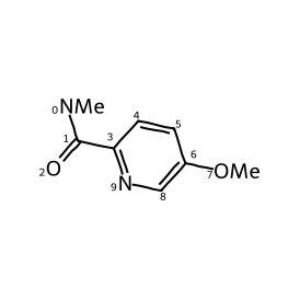 CNC(=O)c1ccc(OC)cn1